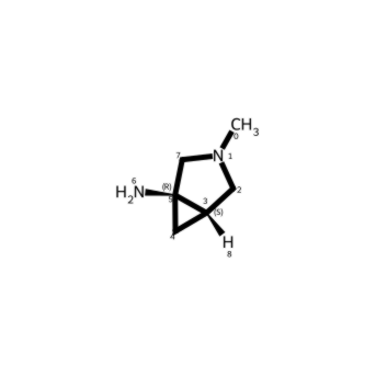 CN1C[C@@H]2C[C@]2(N)C1